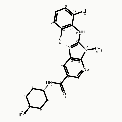 CC(C)[C@H]1CC[C@H](NC(=O)c2cnc3c(c2)nc(Nc2c(Cl)cccc2Cl)n3C)CC1